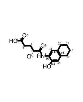 O=C(O)CC[C@@H](Cl)C(=O)Nc1cc2c(cc1O)CCCC2